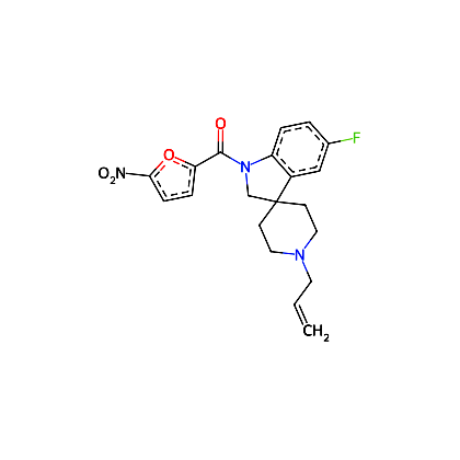 C=CCN1CCC2(CC1)CN(C(=O)c1ccc([N+](=O)[O-])o1)c1ccc(F)cc12